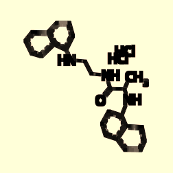 CC(Nc1cccc2ccccc12)C(=O)NCCNc1cccc2ccccc12.Cl.Cl